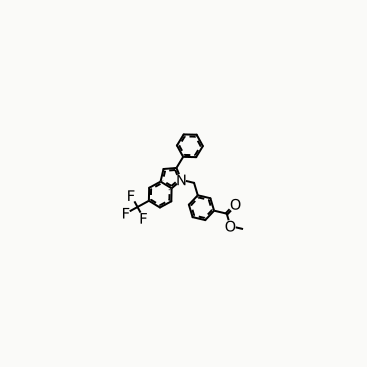 COC(=O)c1cccc(Cn2c(-c3ccccc3)cc3cc(C(F)(F)F)ccc32)c1